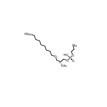 CCCCCCCCCCCCCCCCCCOC[C@H](COP(=O)(O)OCCC(C)(C)C)OC(C)=O